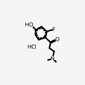 CN(C)CCC(=O)c1ccc(O)cc1F.Cl